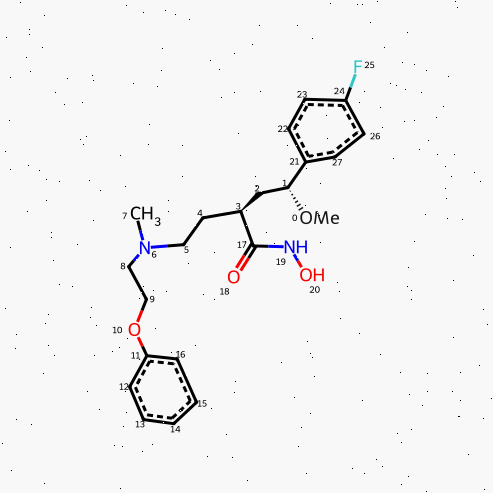 CO[C@H](C[C@H](CCN(C)CCOc1ccccc1)C(=O)NO)c1ccc(F)cc1